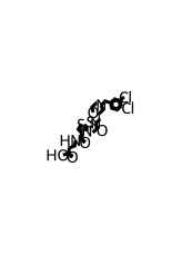 CC(=O)N(C[C@@H]1CN(Cc2ccc(Cl)c(Cl)c2)CCO1)Sc1nc(C(=O)NCCC(=O)O)cs1